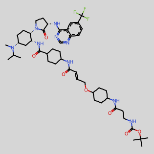 CC(C)N(C)[C@@H]1CC[C@H](N2CC[C@H](Nc3ncnc4ccc(C(F)(F)F)cc34)C2=O)[C@H](NC(=O)C2CCC(NC(=O)/C=C/COC3CCC(NC(=O)CCNC(=O)OC(C)(C)C)CC3)CC2)C1